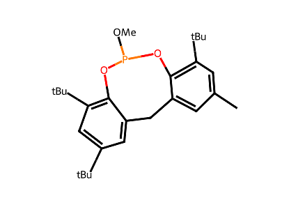 COP1Oc2c(cc(C)cc2C(C)(C)C)Cc2cc(C(C)(C)C)cc(C(C)(C)C)c2O1